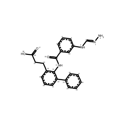 NN=CNc1cccc(C(=O)Nc2c(CCC(=O)O)cccc2-c2ccccc2)c1